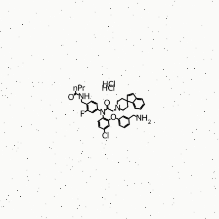 CCCC(=O)NCc1ccc(N(C(=O)CN2CCC3(C=Cc4ccccc43)CC2)c2ccc(Cl)cc2Oc2cccc(CN)c2)cc1F.Cl.Cl